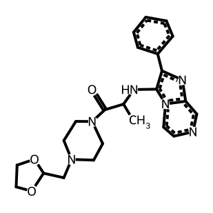 CC(Nc1c(-c2ccccc2)nc2cnccn12)C(=O)N1CCN(CC2OCCO2)CC1